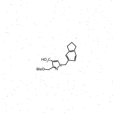 COCc1nn(Cc2ccc3c(c2)CCC3)cc1C(=O)O